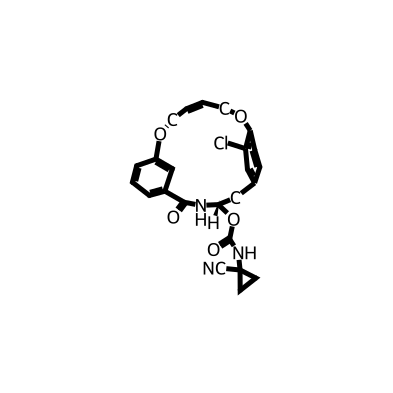 N#CC1(NC(=O)O[C@H]2Cc3ccc(c(Cl)c3)OC/C=C\COc3cccc(c3)C(=O)N2)CC1